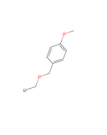 [Li][CH2]OCc1ccc(OC)cc1